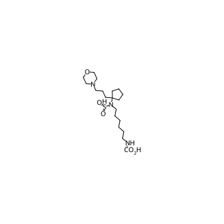 O=C(O)NCCCCCCN([SH](=O)=O)C1(CCCN2CCOCC2)CCCC1